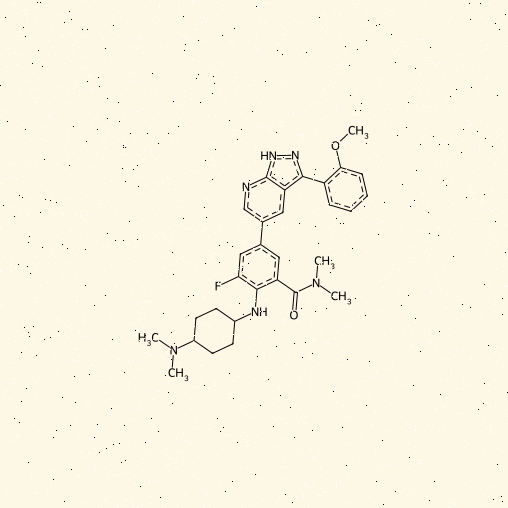 COc1ccccc1-c1n[nH]c2ncc(-c3cc(F)c(NC4CCC(N(C)C)CC4)c(C(=O)N(C)C)c3)cc12